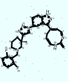 C=C1/N=C\C=C(\c2n[nH]c3ccc(-n4cc([C@@]5(C)CCCN(Cc6c(F)cccc6F)C5)nn4)cc23)C/C=C\N1